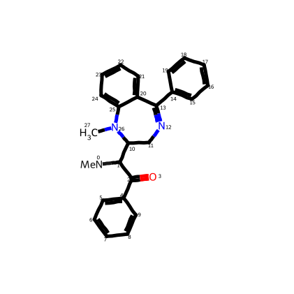 CNC(C(=O)c1ccccc1)C1CN=C(c2ccccc2)c2ccccc2N1C